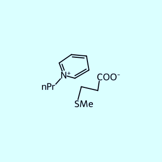 CCC[n+]1ccccc1.CSCCC(=O)[O-]